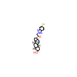 CSc1ccc2nn(CC(=O)[C@H]3CC[C@H]4[C@@H]5CC[C@H]6C[C@](C)(O)CC[C@]6(C)[C@H]5CC[C@]34C)nc2c1